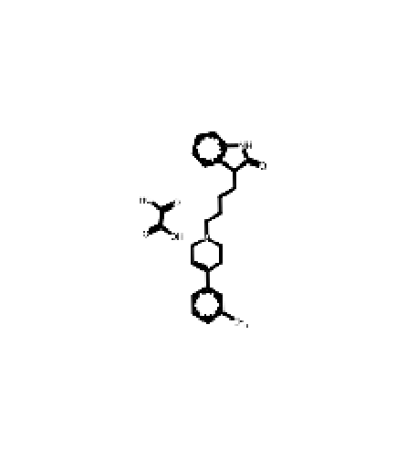 O=C(O)C(=O)O.O=C1Nc2ccccc2C1CCCCN1CC=C(c2cccc(C(F)(F)F)c2)CC1